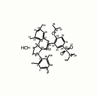 Cc1cc(C)c(N2CCN(c3c(C)cc(C)cc3C)[CH]2[Ru]=[CH]c2cc(S(=O)(=O)N(C)C)ccc2OC(C)C)c(C)c1.Cl